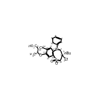 CCCC[C@@]1(CC)CN(C2=CC=CCC2)c2cc(Cl)c(O[C@H](C)CC(=O)O)cc2S(=O)(=O)C1